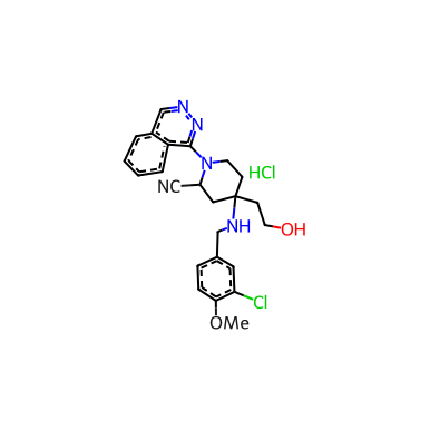 COc1ccc(CNC2(CCO)CCN(c3nncc4ccccc34)C(C#N)C2)cc1Cl.Cl